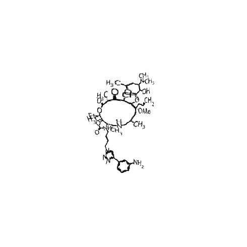 C=CC[C@@]1(OC)C[C@@H](C)CN[C@H](C)[C@H]2N(CCCCn3cc(-c4cccc(N)c4)nn3)C(=O)O[C@]2(C)[C@@H](CC)OC(=O)[C@H](C)C(=O)[C@@H](C)[C@H]1O[C@@H]1OC(C)CC(N(C)C)C1O